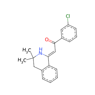 CC1(C)Cc2ccccc2C(=CC(=O)c2cccc(Cl)c2)N1